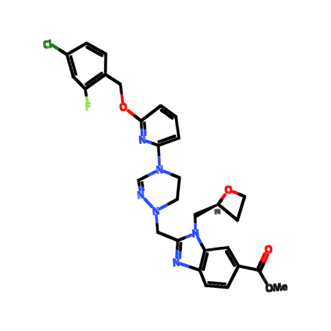 COC(=O)c1ccc2nc(CN3CCN(c4cccc(OCc5ccc(Cl)cc5F)n4)C=N3)n(C[C@@H]3CCO3)c2c1